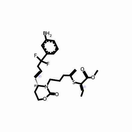 Bc1cccc(C(F)(F)C/C=C/[C@H]2CCOC(=O)N2CCCC(=C)S/C(=C\C)C(=O)OC)c1